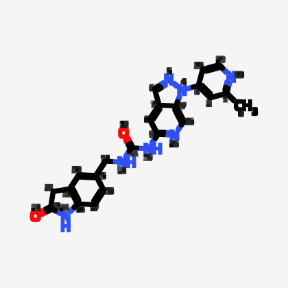 Cc1cc(-n2ncc3cc(NC(=O)NCc4ccc5c(c4)CC(=O)N5)ncc32)ccn1